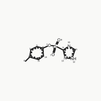 Cc1ccc(OS(=O)(=O)c2nc[nH]n2)cc1